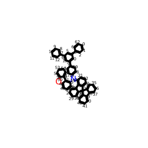 c1ccc(-c2cc(-c3ccccc3)cc(-c3ccc(N(c4cccc5c4-c4ccccc4C54c5ccccc5-c5ccccc54)c4cccc5oc6ccccc6c45)cc3)c2)cc1